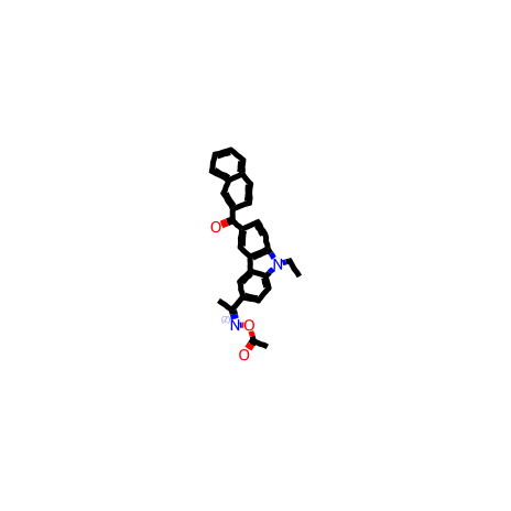 CCn1c2ccc(C(=O)c3ccc4ccccc4c3)cc2c2cc(/C(C)=N\OC(C)=O)ccc21